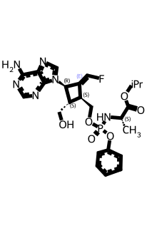 CC(C)OC(=O)[C@H](C)NP(=O)(OC[C@@H]1/C(=C\F)[C@H](n2cnc3c(N)ncnc32)[C@H]1CO)Oc1ccccc1